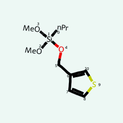 CCC[Si](OC)(OC)OCc1ccsc1